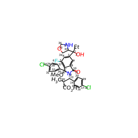 CCC(O)(c1cc(F)c2c(c1)C(=O)N([C@H](c1ccc(Cl)cc1)[C@H](C)C(=O)O)[C@@]2(OC)c1ccc(Cl)cc1)C1COCN1